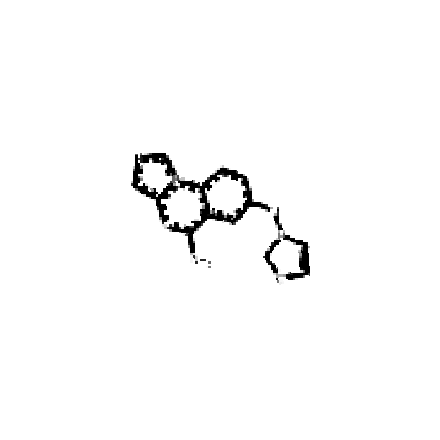 Nc1nc2cncn2c2ccc(ON3C=COC3)cc12